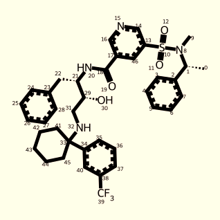 C[C@H](c1ccccc1)N(C)S(=O)(=O)c1cncc(C(=O)N[C@@H](Cc2ccccc2)[C@H](O)CNC2(c3cccc(C(F)(F)F)c3)CCCCC2)c1